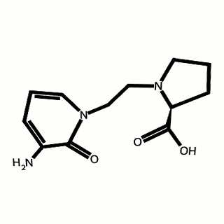 Nc1cccn(CCN2CCC[C@H]2C(=O)O)c1=O